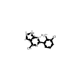 Cc1c(Cl)cccc1-c1nc(Cl)c2cn[nH]c2n1